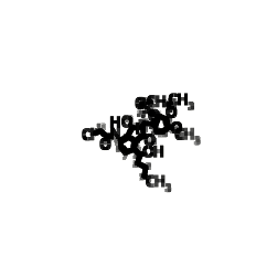 CCCCC(O)c1ccc(NC(=O)CCl)c2c1C(=O)N([C@H](CS(C)(=O)=O)c1ccc(OC)c(OCC)c1)C2=O